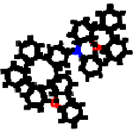 c1ccc(N(c2ccc3c4ccccc4c4ccccc4c4ccccc4c4c(ccc5c6ccccc6oc54)c3c2)c2cccc3c2Oc2ccccc2-c2ccccc2-3)cc1